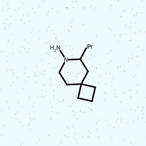 CC(C)C1CC2(CCC2)CCN1N